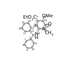 CCOC(=O)c1nc(NC(c2ccccc2)c2ccccc2)n(C)c(=O)c1OC